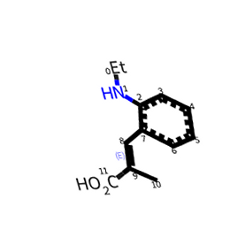 CCNc1ccccc1/C=C(\C)C(=O)O